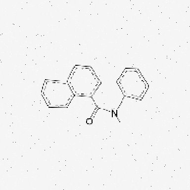 CN(C(=O)c1cccc2ccccc12)c1ccccc1